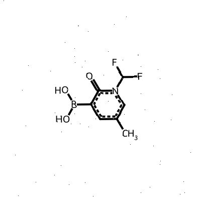 Cc1cc(B(O)O)c(=O)n(C(F)F)c1